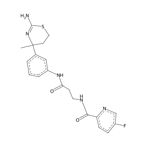 CC1(c2cccc(NC(=O)CCNC(=O)c3ccc(F)cn3)c2)CCSC(N)=N1